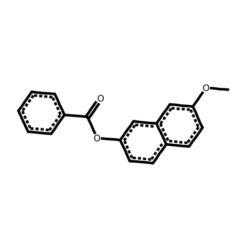 COc1ccc2ccc(OC(=O)c3ccccc3)cc2c1